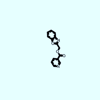 O=C(OCc1nc2ccccc2o1)c1cccnc1